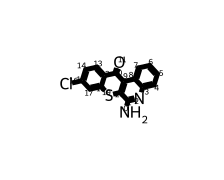 Nc1nc2ccccc2c2c(=O)c3ccc(Cl)cc3sc12